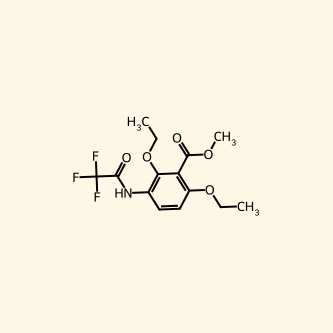 CCOc1ccc(NC(=O)C(F)(F)F)c(OCC)c1C(=O)OC